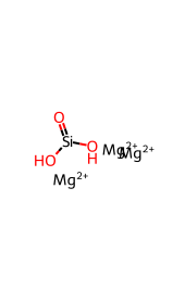 O=[Si](O)O.[Mg+2].[Mg+2].[Mg+2]